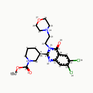 CC(C)(C)OC(=O)N1CCC[C@@H](c2nc3cc(Cl)c(Cl)cc3c(=O)n2CCN2CCOCC2)C1